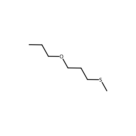 CCCOCCCSC